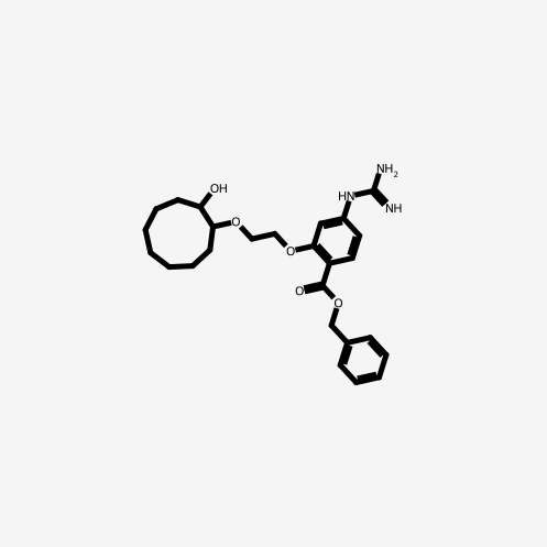 N=C(N)Nc1ccc(C(=O)OCc2ccccc2)c(OCCOC2CCCCCCCC2O)c1